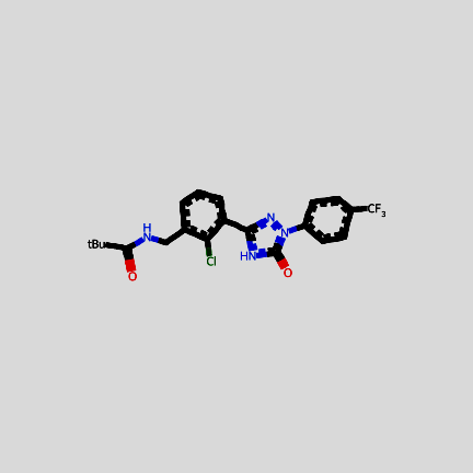 CC(C)(C)C(=O)NCc1cccc(-c2nn(-c3ccc(C(F)(F)F)cc3)c(=O)[nH]2)c1Cl